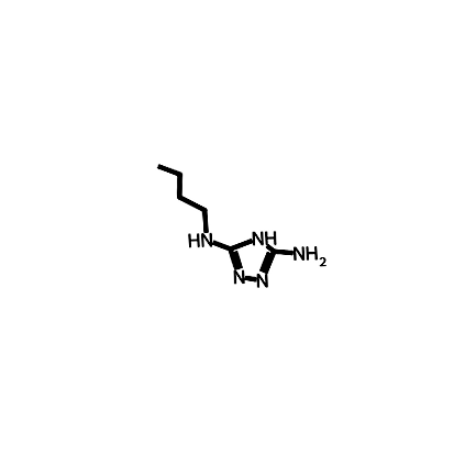 CCCCNc1nnc(N)[nH]1